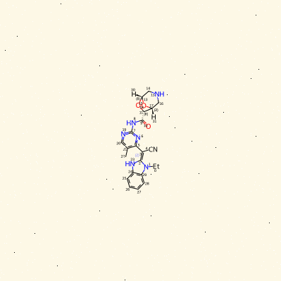 CCN1/C(=C(\C#N)c2nc(NC(=O)[C@@H]3O[C@@H]4CNC[C@H]3O4)ncc2C)Nc2ccccc21